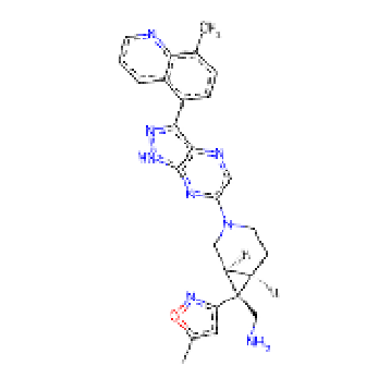 Cc1cc([C@@]2(CN)[C@@H]3CCN(c4cnc5c(-c6ccc(C(F)(F)F)c7ncccc67)n[nH]c5n4)C[C@@H]32)no1